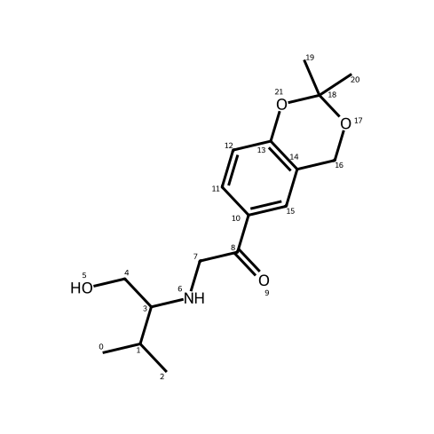 CC(C)C(CO)NCC(=O)c1ccc2c(c1)COC(C)(C)O2